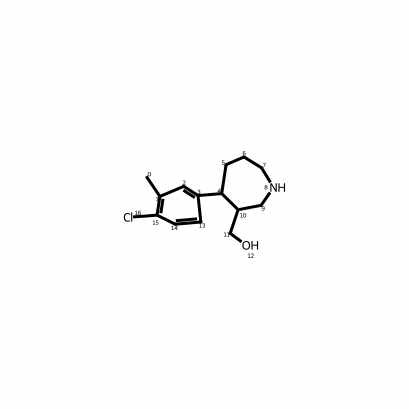 Cc1cc(C2CCCNCC2CO)ccc1Cl